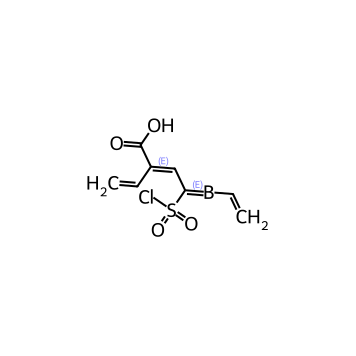 C=C/B=C(\C=C(/C=C)C(=O)O)S(=O)(=O)Cl